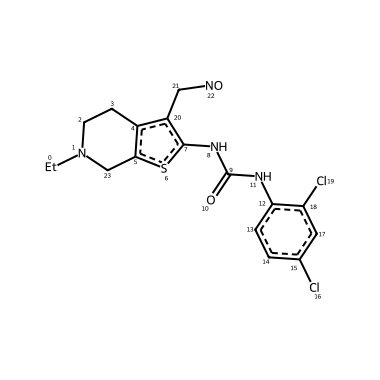 CCN1CCc2c(sc(NC(=O)Nc3ccc(Cl)cc3Cl)c2CN=O)C1